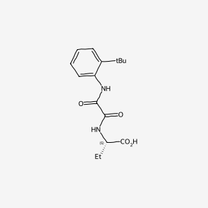 CC[C@H](NC(=O)C(=O)Nc1ccccc1C(C)(C)C)C(=O)O